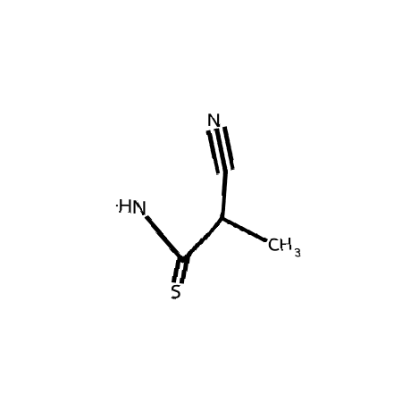 CC(C#N)C([NH])=S